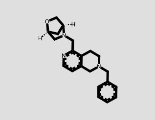 c1ccc(CN2CCc3c(ccnc3CN3C[C@@H]4C[C@H]3CO4)C2)cc1